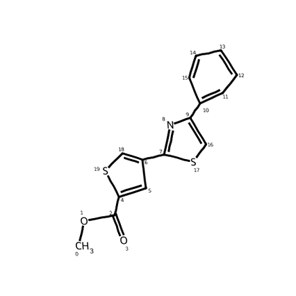 COC(=O)c1cc(-c2nc(-c3ccccc3)cs2)cs1